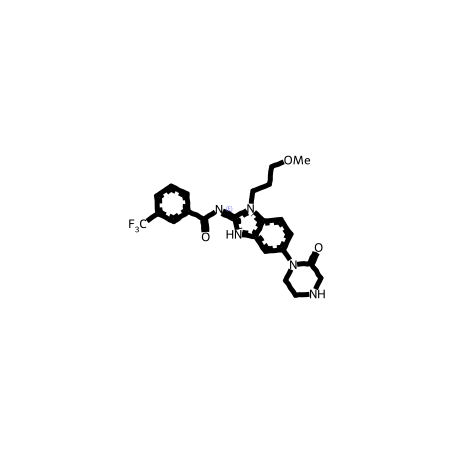 COCCCn1/c(=N/C(=O)c2cccc(C(F)(F)F)c2)[nH]c2cc(N3CCNCC3=O)ccc21